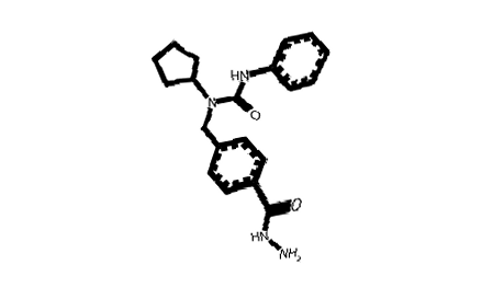 NNC(=O)c1ccc(CN(C(=O)Nc2ccccc2)C2CCCC2)cc1